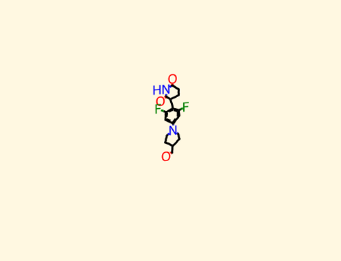 O=CC1CCN(c2cc(F)c(C3CCC(=O)NC3=O)c(F)c2)CC1